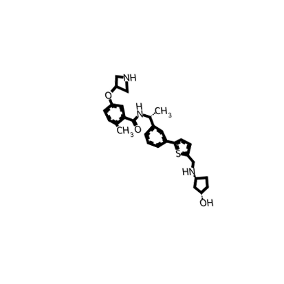 Cc1ccc(OC2CNC2)cc1C(=O)N[C@H](C)c1cccc(-c2ccc(CN[C@H]3CC[C@H](O)C3)s2)c1